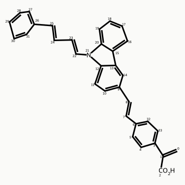 C=C(C(=O)O)c1ccc(C=Cc2ccc3c(c2)c2ccccc2n3/C=C/C=C/c2ccccc2)cc1